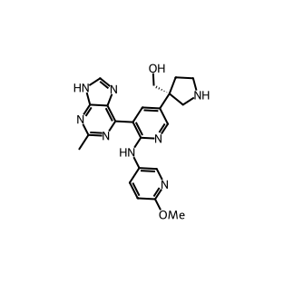 COc1ccc(Nc2ncc([C@@]3(CO)CCNC3)cc2-c2nc(C)nc3[nH]cnc23)cn1